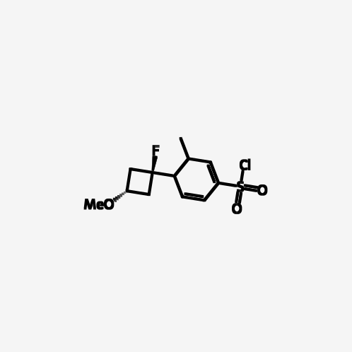 CO[C@H]1C[C@@](F)(C2C=CC(S(=O)(=O)Cl)=CC2C)C1